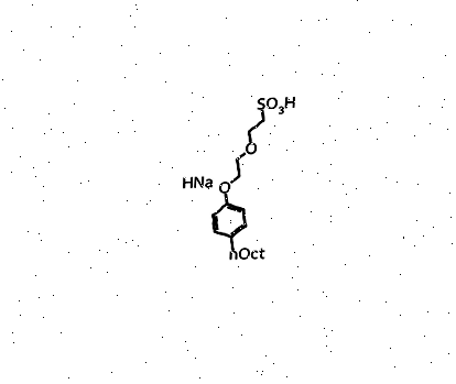 CCCCCCCCc1ccc(OCCOCCS(=O)(=O)O)cc1.[NaH]